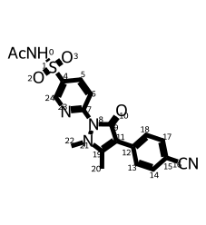 CC(=O)NS(=O)(=O)c1ccc(-n2c(=O)c(-c3ccc(C#N)cc3)c(C)n2C)nc1